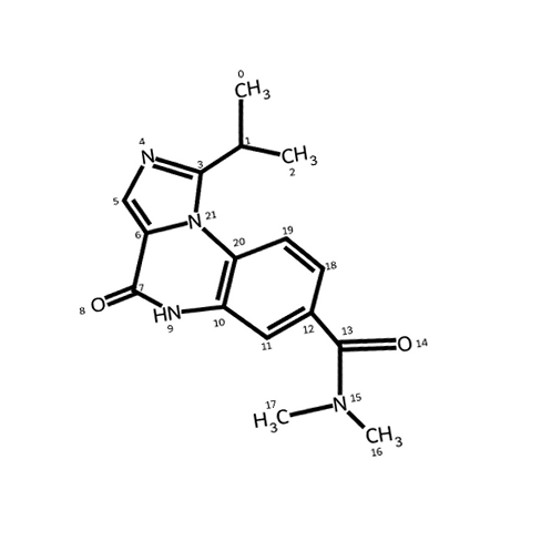 CC(C)c1ncc2c(=O)[nH]c3cc(C(=O)N(C)C)ccc3n12